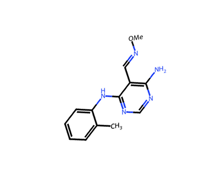 CO/N=C/c1c(N)ncnc1Nc1ccccc1C